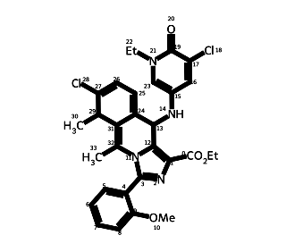 CCOC(=O)c1nc(-c2ccccc2OC)n2c1C(Nc1cc(Cl)c(=O)n(CC)c1)C1=CC=C(Cl)C(C)C1=C2C